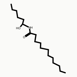 CCCCCCCCCCCC(=O)NC(O)CCCCC